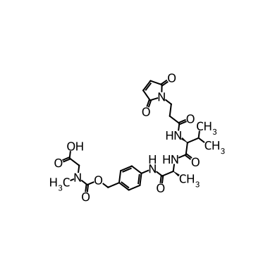 CC(C)[C@H](NC(=O)CCN1C(=O)C=CC1=O)C(=O)N[C@@H](C)C(=O)Nc1ccc(COC(=O)N(C)CC(=O)O)cc1